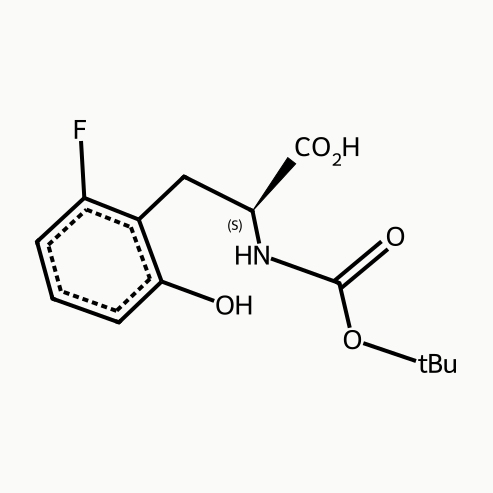 CC(C)(C)OC(=O)N[C@@H](Cc1c(O)cccc1F)C(=O)O